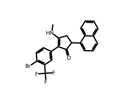 CNC1=C(c2ccc(Br)c(C(F)(F)F)c2)C(=O)C(c2cccc3ccccc23)C1